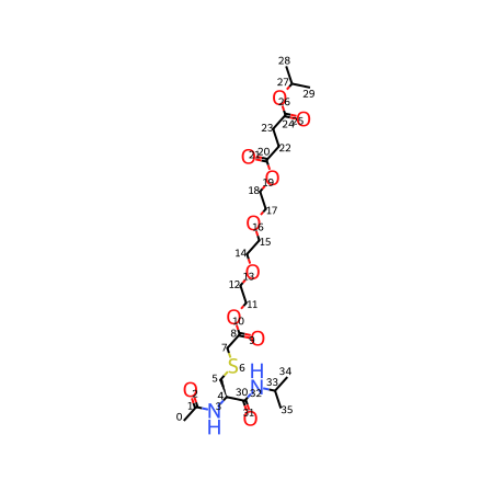 CC(=O)N[C@@H](CSCC(=O)OCCOCCOCCOC(=O)CCC(=O)OC(C)C)C(=O)NC(C)C